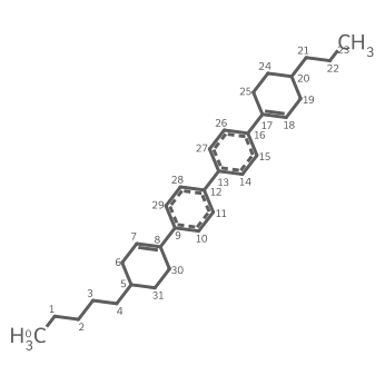 CCCCCC1CC=C(c2ccc(-c3ccc(C4=CCC(CCC)CC4)cc3)cc2)CC1